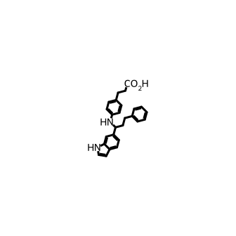 O=C(O)CCc1ccc(NC(CCc2ccccc2)c2ccc3cc[nH]c3c2)cc1